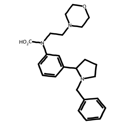 O=C(O)N(CCN1CCOCC1)c1cccc(C2CCCN2Cc2ccccc2)c1